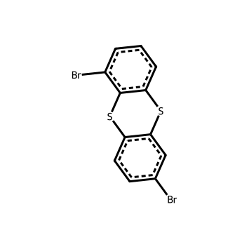 Brc1ccc2c(c1)Sc1cccc(Br)c1S2